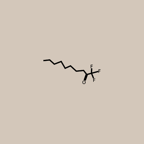 CCCCCCCCC(=O)C(F)(F)F